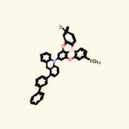 CCC1(C)C=CC2=C(C1)Oc1cc(N3c4ccccc4CC4C(c5cccc(-c6ccccc6)c5)=CC=CC43)cc3c1B2c1ccc(C(C)(C)C)cc1O3